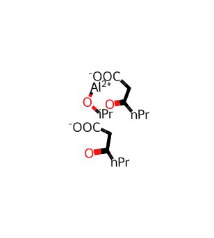 CC(C)[O][Al+2].CCCC(=O)CC(=O)[O-].CCCC(=O)CC(=O)[O-]